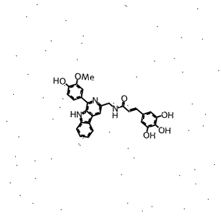 COc1cc(-c2nc(CNC(=O)/C=C/c3cc(O)c(O)c(O)c3)cc3c2[nH]c2ccccc23)ccc1O